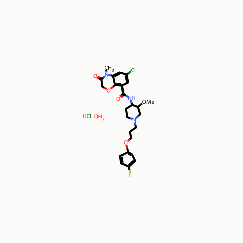 COC1CN(CCCOc2ccc(F)cc2)CCC1NC(=O)c1cc(Cl)cc2c1OCC(=O)N2C.Cl.O